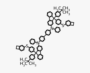 CC(C)(C)c1ccc(C2(c3ccc(Sc4ccc5c(c4)CC5)cc3)c3ccccc3-c3ccc(N(c4ccccc4)c4ccc(-c5ccc(N(c6ccccc6)c6ccc7c(c6)C(c6ccc(Sc8ccc9c(c8)CC9)cc6)(c6ccc(C(C)(C)C)cc6)c6ccccc6-7)cc5)cc4)cc32)cc1